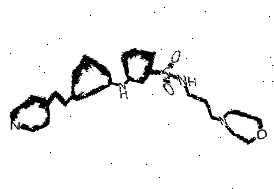 O=S(=O)(NCCCN1CCOCC1)c1cccc(Nc2cccc(/C=C/c3ccncc3)c2)c1